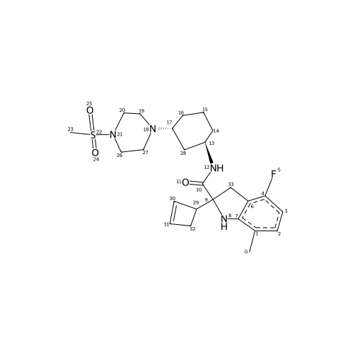 Cc1ccc(F)c2c1NC(C(=O)N[C@@H]1CCC[C@@H](N3CCN(S(C)(=O)=O)CC3)C1)(C1C=CC1)C2